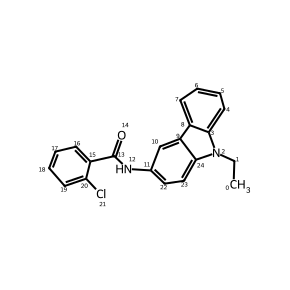 CCn1c2ccccc2c2cc(NC(=O)c3ccccc3Cl)ccc21